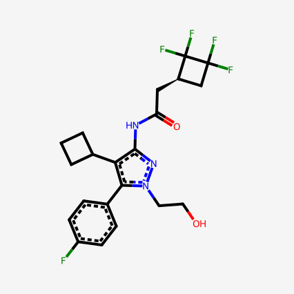 O=C(C[C@@H]1CC(F)(F)C1(F)F)Nc1nn(CCO)c(-c2ccc(F)cc2)c1C1CCC1